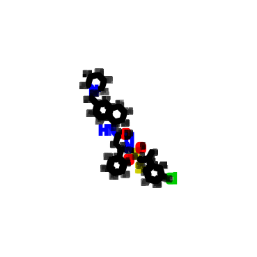 Cc1c(S(=O)(=O)N[C@H](CC(=O)NC2CCCc3cc(CN4CCCCC4)ccc32)c2ccccc2)sc2ccc(Cl)cc12